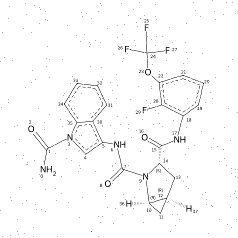 NC(=O)n1cc(NC(=O)N2[C@@H]3C[C@@H]3C[C@H]2C(=O)Nc2cccc(OC(F)(F)F)c2F)c2ccccc21